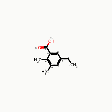 CCc1cc(C)c(C)c(C(=O)O)c1